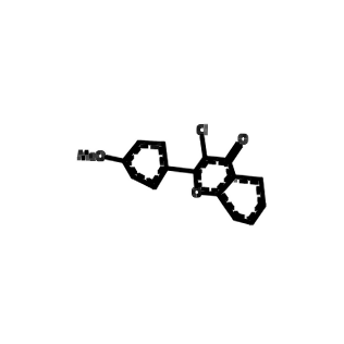 COc1ccc(-c2oc3ccccc3c(=O)c2Cl)cc1